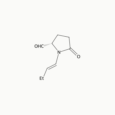 CC/C=C/N1C(=O)CC[C@H]1C=O